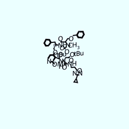 COc1nccc(OC[C@@H](Cc2ccccc2)NC(=O)C(COCc2ccccc2)N(C)C(=O)OC(C)(C)C)c1C(=O)N[C@@H](CC(=O)OC(C)(C)C)C(=O)NCCc1nc(C2CC2)no1